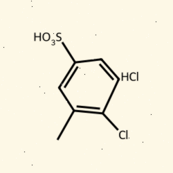 Cc1cc(S(=O)(=O)O)ccc1Cl.Cl